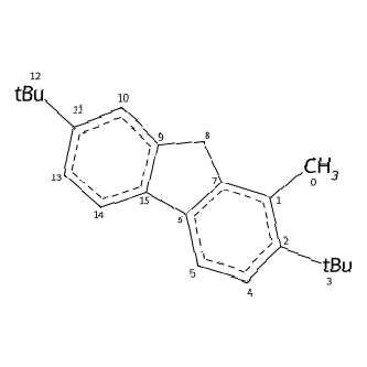 Cc1c(C(C)(C)C)ccc2c1Cc1cc(C(C)(C)C)ccc1-2